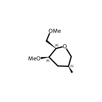 COC[C@H]1OC[C@@H](C)C[C@H]1OC